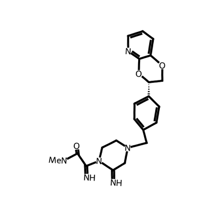 CNC(=O)C(=N)N1CCN(Cc2ccc([C@H]3COc4cccnc4O3)cc2)CC1=N